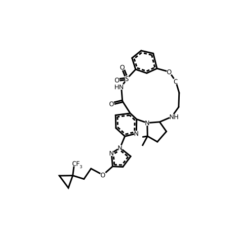 CC1(C)CCC2NCCCOc3cccc(c3)S(=O)(=O)NC(=O)c3ccc(-n4ccc(OCCC5(C(F)(F)F)CC5)n4)nc3N21